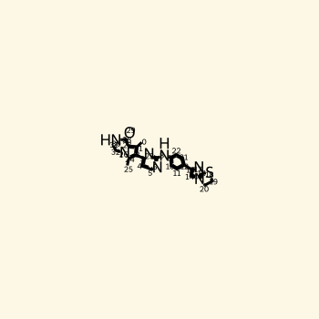 Cc1c(-c2ccnc(Nc3ccc(-c4cn5c(n4)SCC5)cc3)n2)c(C)n2c1C(=O)NCC2